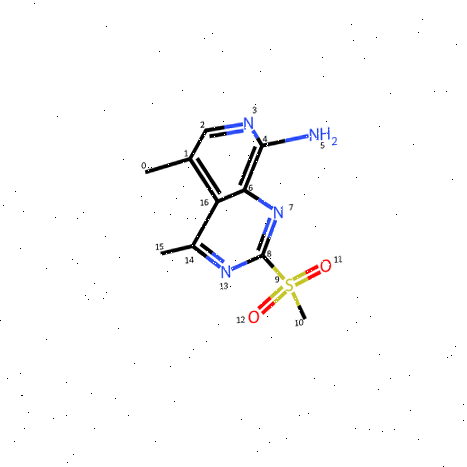 Cc1cnc(N)c2nc(S(C)(=O)=O)nc(C)c12